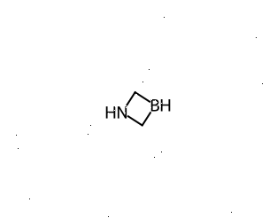 B1CNC1